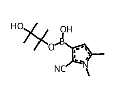 Cc1cc(B(O)OC(C)(C)C(C)(C)O)c(C#N)n1C